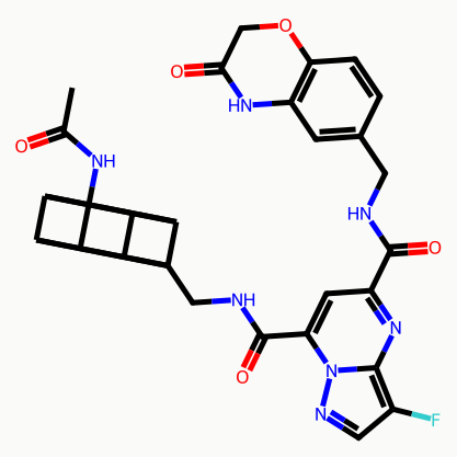 CC(=O)NC12C3C4C1C1C2C3C41CNC(=O)c1cc(C(=O)NCc2ccc3c(c2)NC(=O)CO3)nc2c(F)cnn12